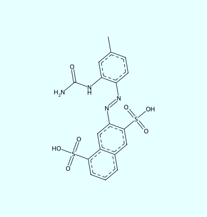 Cc1ccc(N=Nc2cc3c(S(=O)(=O)O)cccc3cc2S(=O)(=O)O)c(NC(N)=O)c1